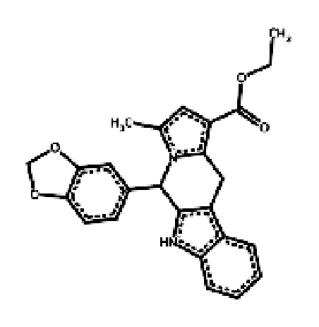 CCOC(=O)c1cc(C)n2c1Cc1c([nH]c3ccccc13)C2c1ccc2c(c1)OCO2